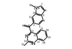 C=C(c1ccc2ccn(C)c2c1)c1nc(C)nc2ccccc12